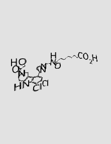 O=C(O)CCCCCCC(=O)NCCn1ccc(-c2cc(Cl)c(Cl)c3[nH]c4c(c23)CN(C(=O)CO)CC4)n1